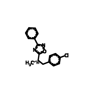 C[C@@H](Cc1ccc(Cl)cc1)c1nc(-c2ccccc2)no1